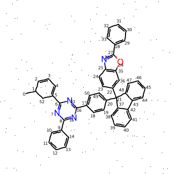 CC1C=CC=C(c2nc(-c3ccccc3)nc(-c3ccc(C4(c5ccc6nc(-c7ccccc7)oc6c5)c5ccccc5-c5ccccc54)cc3)n2)C1